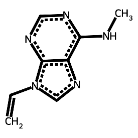 C=Cn1cnc2c(NC)ncnc21